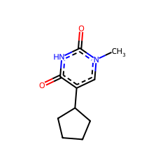 Cn1cc(C2CCCC2)c(=O)[nH]c1=O